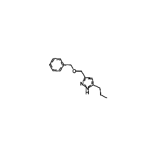 CCCc1cc(COCc2ccccc2)n[nH]1